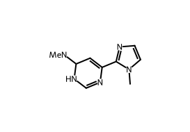 CNC1C=C(c2nccn2C)N=CN1